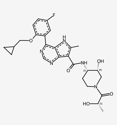 Cc1[nH]c2c(-c3cc(F)ccc3OCC3CC3)ncnc2c1C(=O)N[C@H]1CCN(C(=O)[C@H](C)O)C[C@H]1O